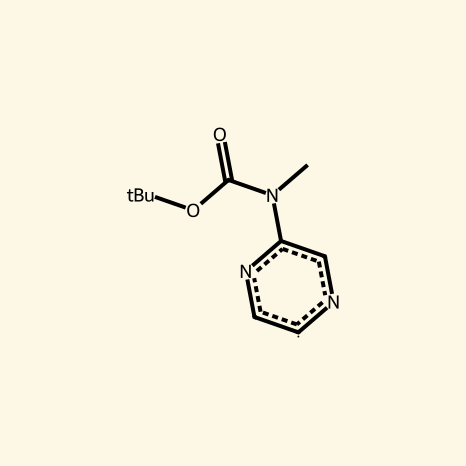 CN(C(=O)OC(C)(C)C)c1cn[c]cn1